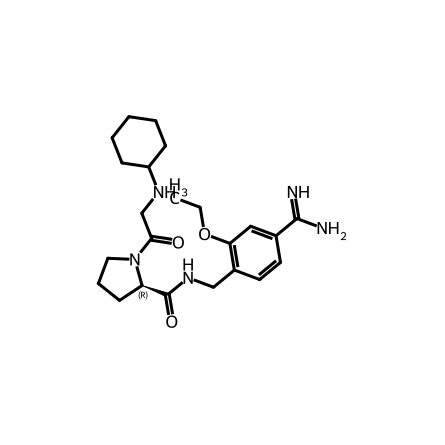 CCOc1cc(C(=N)N)ccc1CNC(=O)[C@H]1CCCN1C(=O)CNC1CCCCC1